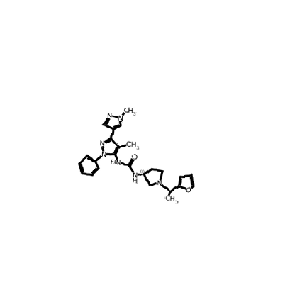 Cc1c(-c2cnn(C)c2)nn(-c2ccccc2)c1NC(=O)N[C@H]1CCN(C(C)c2ccco2)C1